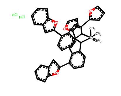 Cl.Cl.[CH3][Zr]([CH3])(=[SiH2])([CH]1C(c2ccco2)=Cc2c(-c3cc4ccccc4o3)cccc21)[CH]1C(c2ccco2)=Cc2c(-c3cc4ccccc4o3)cccc21